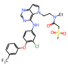 CCN(CCn1ccc2ncnc(Nc3ccc(Oc4cccc(C(F)(F)F)c4)c(Cl)c3)c21)C(=O)CS(C)(=O)=O